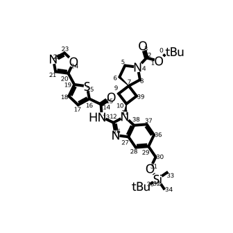 CC(C)(C)OC(=O)N1CC[C@]2(C1)C[C@H](n1c(NC(=O)c3ccc(-c4cnco4)s3)nc3cc(CO[Si](C)(C)C(C)(C)C)ccc31)C2